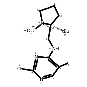 Cc1cnc(Cl)nc1NC[C@]1(C(C)(C)C)CCCN1C(=O)O